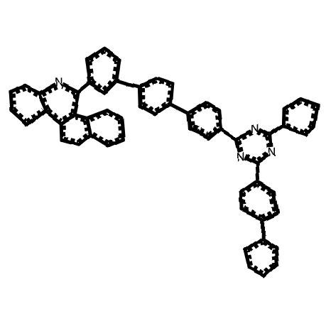 c1ccc(-c2ccc(-c3nc(-c4ccccc4)nc(-c4ccc(-c5ccc(-c6cccc(-c7nc8ccccc8c8ccc9ccccc9c78)c6)cc5)cc4)n3)cc2)cc1